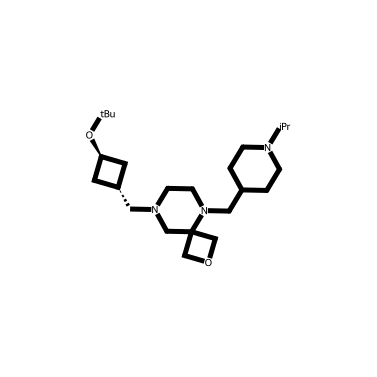 CC(C)N1CCC(CN2CCN(C[C@H]3C[C@H](OC(C)(C)C)C3)CC23COC3)CC1